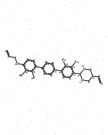 C=CCOc1ccc(-c2ccc(-c3ccc(C4OCC(C=C)CO4)c(F)c3F)cc2)c(F)c1F